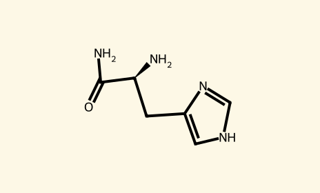 NC(=O)[C@@H](N)Cc1c[nH]cn1